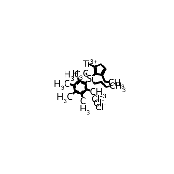 CCCC[Si](C)(C1=[C]([Ti+3])CC=C1CC)c1c(C)c(C)c(C)c(C)c1C.[Cl-].[Cl-].[Cl-]